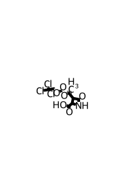 C[C@@H](OC(=O)OCC(Cl)(Cl)Cl)C1C(=O)NC1C(=O)O